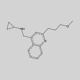 COCCCc1cc(CNC2CC2)c2ccccc2n1